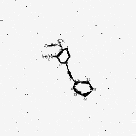 NC1=C([N+](=O)[O-])C=C[C](C#Cc2ccccc2)C1